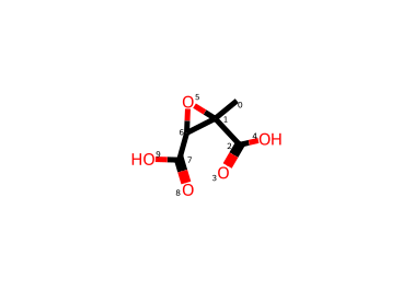 CC1(C(=O)O)OC1C(=O)O